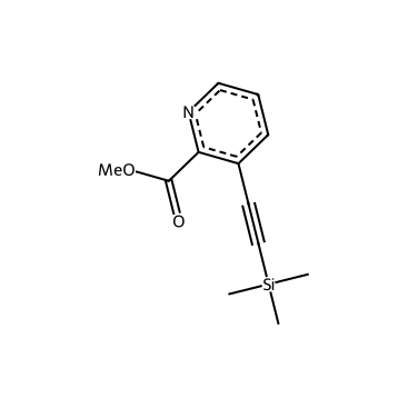 COC(=O)c1ncccc1C#C[Si](C)(C)C